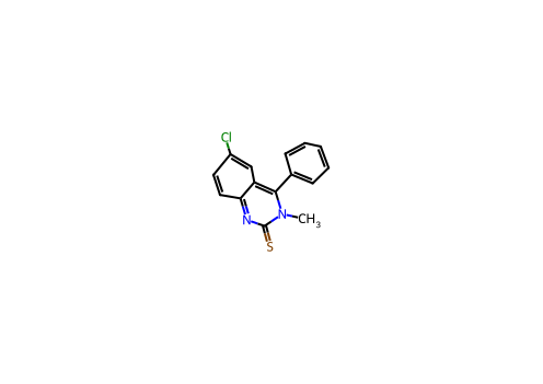 Cn1c(-c2ccccc2)c2cc(Cl)ccc2nc1=S